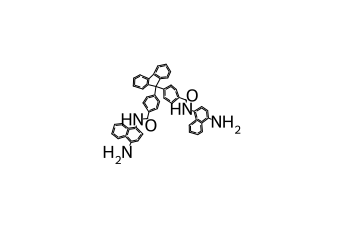 Nc1ccc(NC(=O)c2ccc(C3(c4ccc(C(=O)Nc5ccc(N)c6ccccc56)cc4)c4ccccc4-c4ccccc43)cc2)c2ccccc12